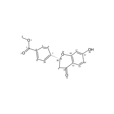 COC(=O)c1ccc([C@H]2CC(=O)c3ccc(O)cc3O2)cc1